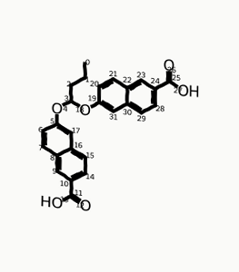 CCCC(Oc1ccc2cc(C(=O)O)ccc2c1)Oc1ccc2cc(C(=O)O)ccc2c1